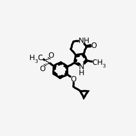 Cc1[nH]c(-c2cc(S(C)(=O)=O)ccc2OCC2CC2)c2c1C(=O)NCC2